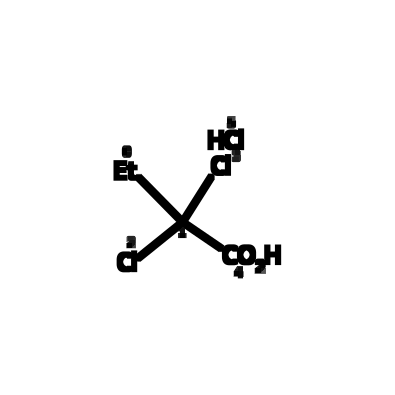 CCC(Cl)(Cl)C(=O)O.Cl